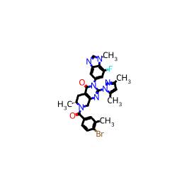 Cc1cc(C)n(-c2nc3c(c(=O)n2-c2cc(F)c4c(c2)ncn4C)C[C@@H](C)N(C(=O)c2ccc(Br)c(C)c2)C3)n1